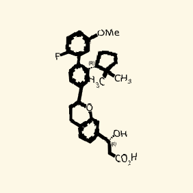 COc1ccc(F)c(-c2ccc(C3CCc4ccc([C@H](O)CC(=O)O)cc4O3)cc2[C@@H]2CCCC2(C)C)c1